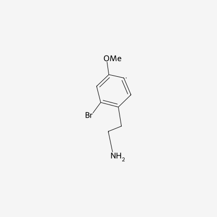 COc1[c]cc(CCN)c(Br)c1